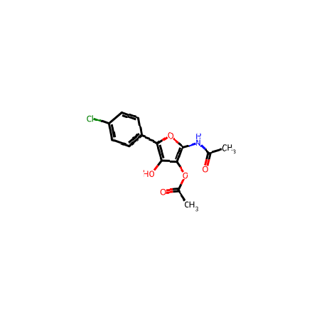 CC(=O)Nc1oc(-c2ccc(Cl)cc2)c(O)c1OC(C)=O